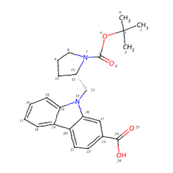 CC(C)(C)OC(=O)N1CCC[C@H]1Cn1c2ccccc2c2ccc(C(=O)O)cc21